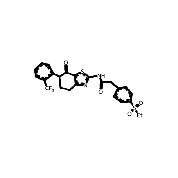 CCS(=O)(=O)c1ccc(CC(=O)Nc2nc3c(s2)C(=O)C(c2ccccc2C(F)(F)F)CC3)cc1